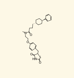 CN(CCOc1ccc(CC2SC(=O)NC2=O)cc1)C(=O)CCC[C@H]1CC[C@H](c2ccccc2)CC1